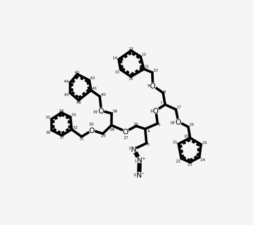 [N-]=[N+]=NCC(COC(COCc1ccccc1)COCc1ccccc1)COC(COCc1ccccc1)COCc1ccccc1